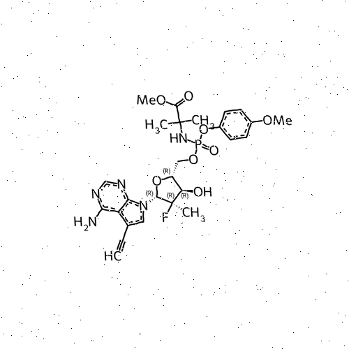 C#Cc1cn([C@@H]2O[C@H](COP(=O)(NC(C)(C)C(=O)OC)Oc3ccc(OC)cc3)[C@@H](O)[C@@]2(C)F)c2ncnc(N)c12